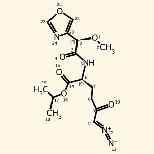 CO[C@@H](C(=O)N[C@@H](CCC(=O)C=[N+]=[N-])C(=O)OC(C)C)c1cocn1